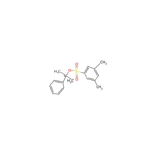 Cc1cc(C)cc(S(=O)(=O)O[Si](C)(C)c2ccccc2)c1